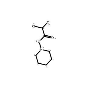 O=C(ON1CCCCC1)C(Cl)Cl